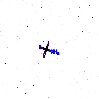 NC(I)(I)I